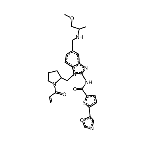 C=CC(=O)N1CCCC1Cn1c(NC(=O)c2ccc(-c3cnco3)s2)nc2cc(CNC(C)COC)ccc21